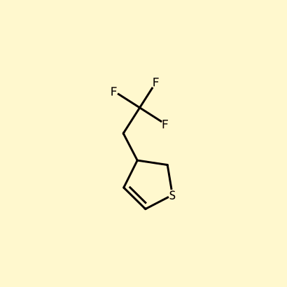 FC(F)(F)CC1C=CSC1